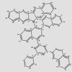 c1ccc(-c2nc(-c3ccc4ccccc4c3)nc(-c3cc(-c4ccc5ccccc5c4)c(-n4c5cc6ccccc6cc5c5cc6ccccc6cc54)c4ccccc34)n2)cc1